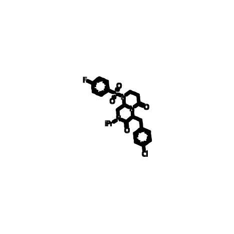 CC(C)N1CC2N(C(=O)CCN2S(=O)(=O)c2ccc(F)cc2)C(Cc2ccc(Cl)cc2)C1=O